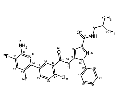 CC(C)CNC(=O)c1cc(NC(=O)c2cc(-c3nc(N)c(F)cc3F)ccc2Cl)n(-c2ccccc2)n1